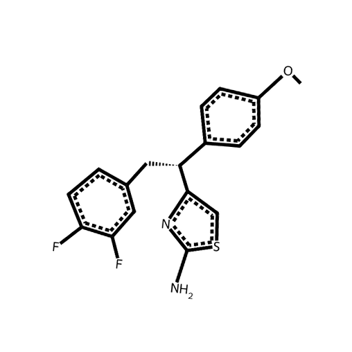 COc1ccc([C@@H](Cc2ccc(F)c(F)c2)c2csc(N)n2)cc1